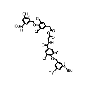 CCC(C)Nc1cc(C)cc(COc2c(Cl)cc(CC(=O)OC(=O)CNC(=O)c3cc(Cl)c(OCc4cc(C)cc(NC(C)CC)c4)c(Cl)c3)cc2Cl)c1